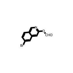 O=COc1cc2cc(Br)ccc2cn1